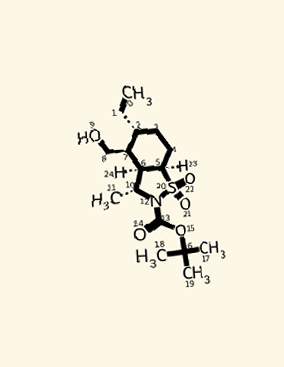 CC[C@@H]1CC[C@@H]2[C@H]([C@H]1CO)[C@@H](C)N(C(=O)OC(C)(C)C)S2(=O)=O